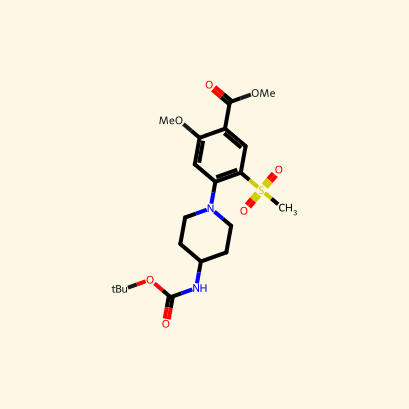 COC(=O)c1cc(S(C)(=O)=O)c(N2CCC(NC(=O)OC(C)(C)C)CC2)cc1OC